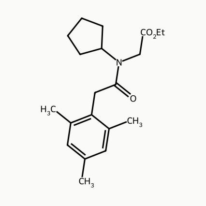 CCOC(=O)CN(C(=O)Cc1c(C)cc(C)cc1C)C1CCCC1